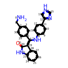 NCc1ccc(C(Nc2ccc(-c3c[nH]cn3)cc2)=C2C(=O)Nc3ccccc32)cc1